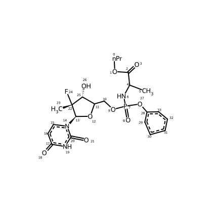 CCCOC(=O)C(C)NP(=O)(OCC1O[C@@H](n2ccc(=O)[nH]c2=O)[C@](C)(F)[C@@H]1O)Oc1ccccc1